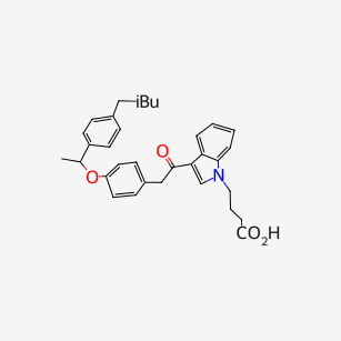 CCC(C)Cc1ccc(C(C)Oc2ccc(CC(=O)c3cn(CCCC(=O)O)c4ccccc34)cc2)cc1